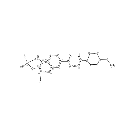 CCC1CCC(c2ccc(-c3ccc4c(F)c(OC(F)(F)F)c(F)cc4c3)cc2)CC1